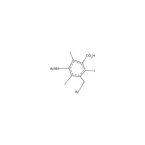 CC(=O)Cc1c(I)c(NC(C)=O)c(I)c(C(=O)O)c1I